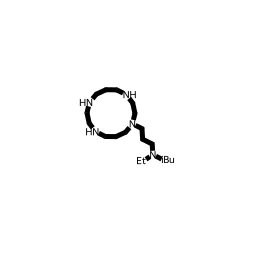 CCC(C)N(CC)CCCN1CCCNCCNCCCNCC1